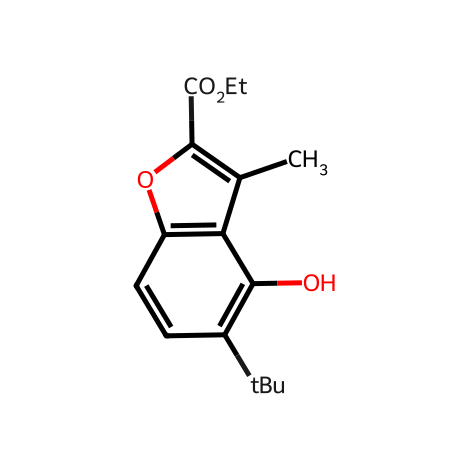 CCOC(=O)c1oc2ccc(C(C)(C)C)c(O)c2c1C